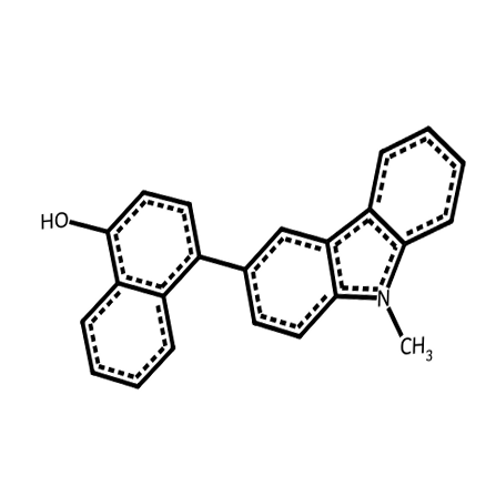 Cn1c2ccccc2c2cc(-c3ccc(O)c4ccccc34)ccc21